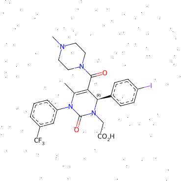 CC1=C(C(=O)N2CCN(C)CC2)[C@@H](c2ccc(I)cc2)N(CC(=O)O)C(=O)N1c1cccc(C(F)(F)F)c1